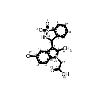 Cc1c(C2NS(=O)(=O)c3ccccc32)c2cc(Cl)ccc2n1CC(=O)O